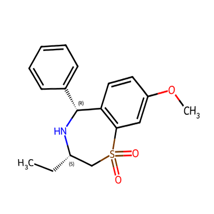 CC[C@H]1CS(=O)(=O)c2cc(OC)ccc2[C@@H](c2ccccc2)N1